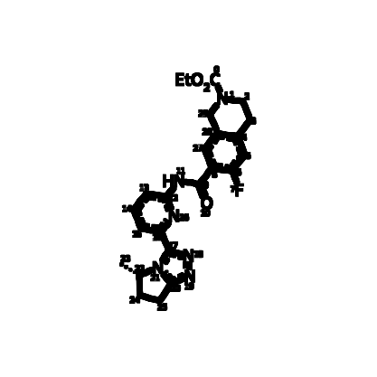 CCOC(=O)N1CCc2cc(F)c(C(=O)Nc3cccc(-c4nnc5n4[C@@H](C)CC5)n3)cc2C1